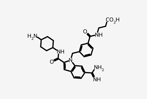 N=C(N)c1ccc2cc(C(=O)NC3CCC(N)CC3)n(Cc3cccc(C(=O)NCCC(=O)O)c3)c2c1